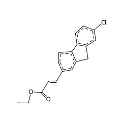 CCOC(=O)/C=C/c1ccc2c(c1)Cc1cc(Cl)ccc1-2